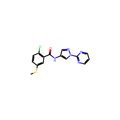 CSc1ccc(Cl)c(C(=O)Nc2cnn(-c3ncccn3)c2)c1